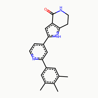 Cc1cc(-c2cc(-c3cc4c([nH]3)CCNC4=O)ccn2)cc(C)c1C